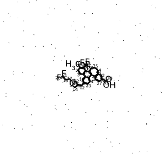 Cc1cccc(C2=C(c3ccc(C=C4CCN(CCC(F)F)C4)cc3)c3ccc(C(=O)O)cc3CCC2)c1C(F)(F)F